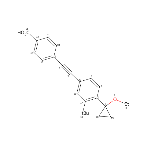 CCOC1(c2ccc(C#Cc3ccc(C(=O)O)cc3)cc2C(C)(C)C)CC1